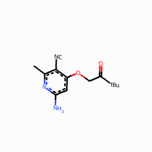 [C-]#[N+]c1c(OCC(=O)C(C)(C)C)cc(N)nc1C